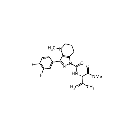 C=C(C)[C@H](NC(=O)n1nc(-c2ccc(F)c(F)c2)c2c1CCCN2C)C(=O)NC